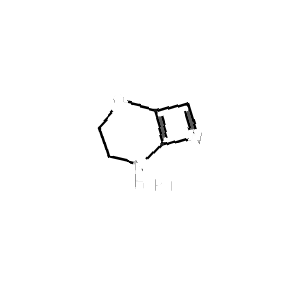 C1=NC2=C1OCCN2.P